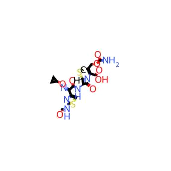 NC(=O)OCC1=C(C(=O)O)N2C(=O)[C@@H](NC(=O)/C(=N\OC3CC3)c3csc(NC=O)n3)[C@H]2SC1